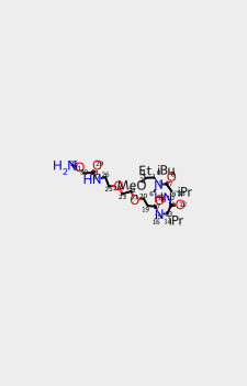 CC[C@H](C)[C@@H]([C@@H](CC)OC)N(C)C(=O)[C@@H](NC(=O)[C@H](C(C)C)N(C)C(=O)CCOCCOCCNC(=O)CON)C(C)C